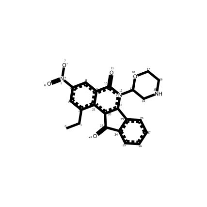 CCc1cc([N+](=O)[O-])cc2c(=O)n(C3CNCCO3)c3c(c12)C(=O)c1ccccc1-3